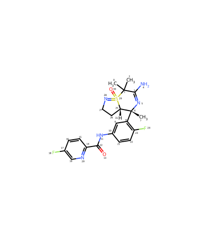 CC1(C)C(N)=N[C@](C)(c2cc(NC(=O)c3ccc(F)cn3)ccc2F)[C@@H]2CCN=S21=O